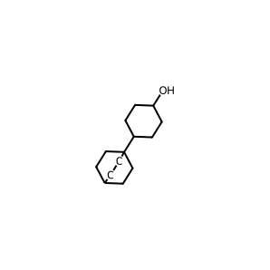 OC1CCC(C23CCC(CC2)CC3)CC1